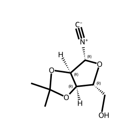 [C-]#[N+][C@@H]1O[C@H](CO)[C@H]2OC(C)(C)O[C@H]21